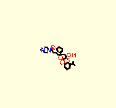 CC(C)c1ccccc1SC1=C(O)CC(CCCC(=O)N2CCN(C)CC2)(c2ccccc2)OC1=O